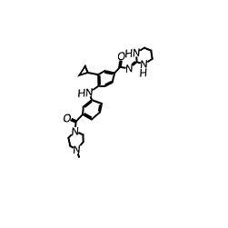 CN1CCN(C(=O)c2cccc(Nc3ccc(C(=O)N=C4NCCCN4)cc3C3CC3)c2)CC1